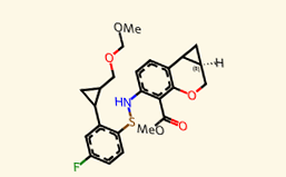 COCOCC1CC1c1cc(F)ccc1SNc1ccc2c(c1C(=O)OC)OC[C@@H]1CC21